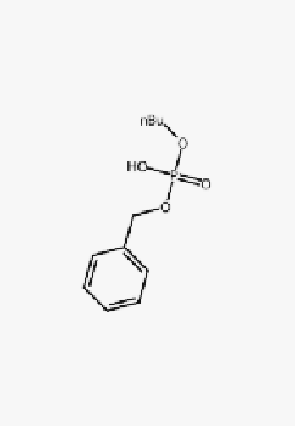 CCCCOP(=O)(O)OCc1ccccc1